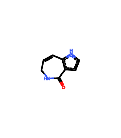 O=C1NCC=Cc2[nH]ccc21